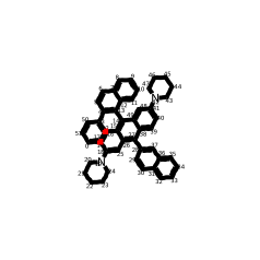 c1ccc(-c2ccc3ccccc3c2-c2c3ccc(N4CCCCC4)cc3c(-c3ccc4ccccc4c3)c3ccc(N4CCCCC4)cc23)cc1